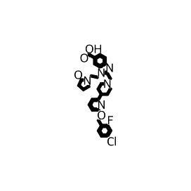 O=C(O)c1ccc2nc(CN3CCC(c4cccc(OCc5ccc(Cl)cc5F)n4)CC3)n(CCN3CCCC3=O)c2c1